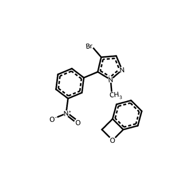 Cn1ncc(Br)c1-c1cccc([N+](=O)[O-])c1.c1ccc2c(c1)CO2